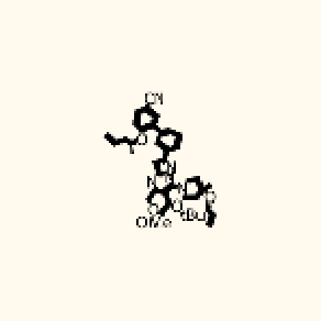 C=CCOC1(C)CCN(c2c([C@H](OC(C)(C)C)C(=O)OC)c(C)nc3cc(-c4cccc(-c5cc(C#N)ccc5O[C@@H](C)CC=C)c4)nn23)CC1